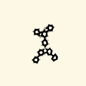 C1=C(c2ccccc2)C=C2c3cc(-c4ccccc4)ccc3N(c3ccc(-c4cc5c6ccccc6oc5c5c4sc4ccccc45)cc3)C2C1